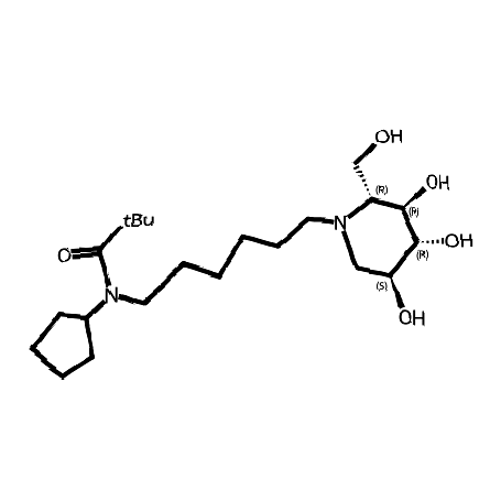 CC(C)(C)C(=O)N(CCCCCCN1C[C@H](O)[C@@H](O)[C@H](O)[C@H]1CO)C1CCCC1